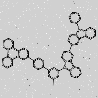 Cc1cc(-c2ccc(-c3ccc4c5ccccc5c5ccccc5c4c3)cc2)cc(-n2c3ccccc3c3cc(-c4ccc5c(c4)c4ccccc4n5-c4ccccc4)ccc32)c1